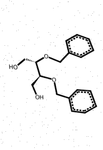 OC[C@H](OCc1ccccc1)[C@H](CO)OCc1ccccc1